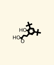 CC(C)(C)c1cc(CCC(=O)O)c(O)c(C(C)(C)C)c1